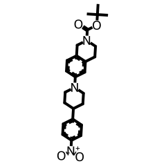 CC(C)(C)OC(=O)N1CCc2cc(N3CCC(c4ccc([N+](=O)[O-])cc4)CC3)ccc2C1